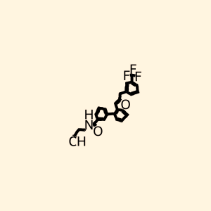 C#CCCNC(=O)c1cccc(-c2cccc3oc(Cc4cccc(C(F)(F)F)c4)cc23)c1